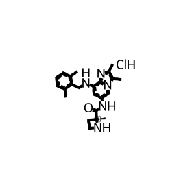 Cc1cccc(C)c1CNc1cc(NC(=O)[C@@]2(C)CCN2)cn2c(C)c(C)nc12.Cl